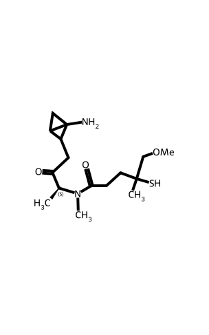 COCC(C)(S)CCC(=O)N(C)[C@@H](C)C(=O)CC1C2CC12N